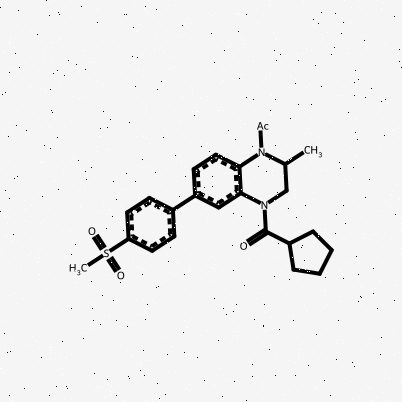 CC(=O)N1c2ccc(-c3ccc(S(C)(=O)=O)cc3)cc2N(C(=O)C2CCCC2)CC1C